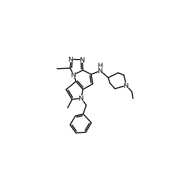 CCN1CCC(Nc2cc3c(cc(C)n3Cc3ccccc3)n3c(C)nnc23)CC1